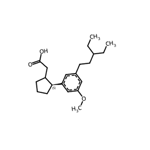 CCC(CC)CCc1cc(OC)cc([C@H]2CCCC2CC(=O)O)c1